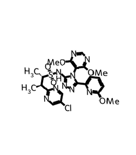 COc1cccc(-c2nnc(NS(=O)(=O)[C@@H](C)[C@H](C)c3ncc(Cl)cn3)n2-c2c(OC)ncnc2OC)n1